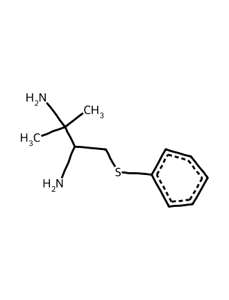 CC(C)(N)C(N)CSc1ccccc1